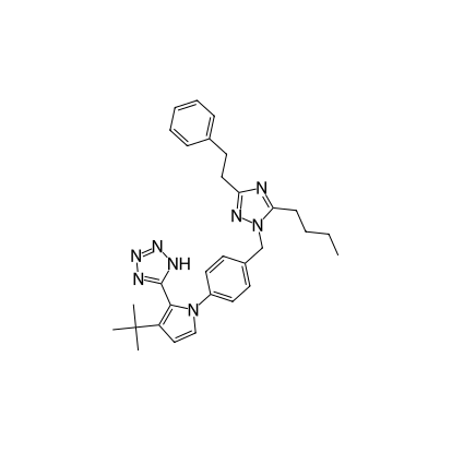 CCCCc1nc(CCc2ccccc2)nn1Cc1ccc(-n2ccc(C(C)(C)C)c2-c2nnn[nH]2)cc1